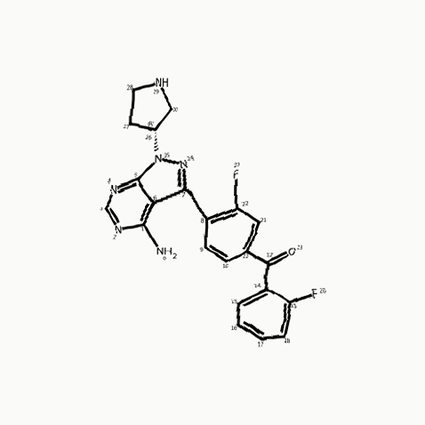 Nc1ncnc2c1c(-c1ccc(C(=O)c3ccccc3F)cc1F)nn2[C@@H]1CCNC1